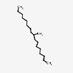 CCCCCCCCC(N)CCCCCCCC